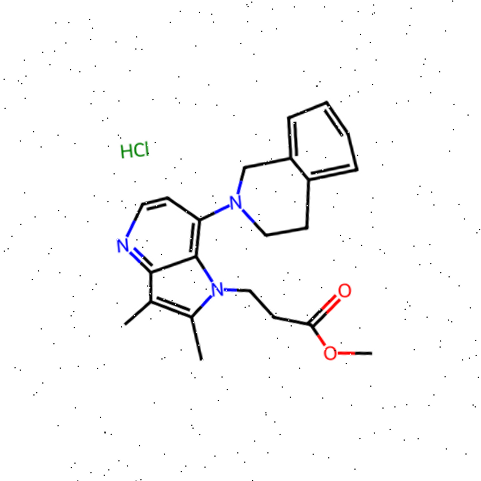 COC(=O)CCn1c(C)c(C)c2nccc(N3CCc4ccccc4C3)c21.Cl